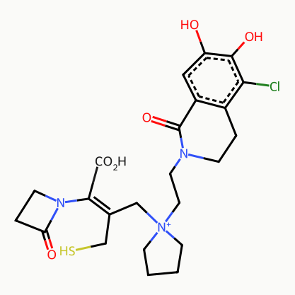 O=C(O)/C(=C(/CS)C[N+]1(CCN2CCc3c(cc(O)c(O)c3Cl)C2=O)CCCC1)N1CCC1=O